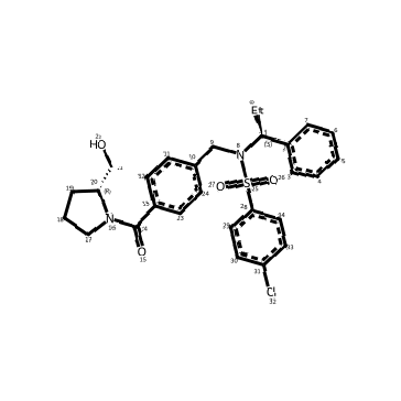 CC[C@@H](c1ccccc1)N(Cc1ccc(C(=O)N2CCC[C@@H]2CO)cc1)S(=O)(=O)c1ccc(Cl)cc1